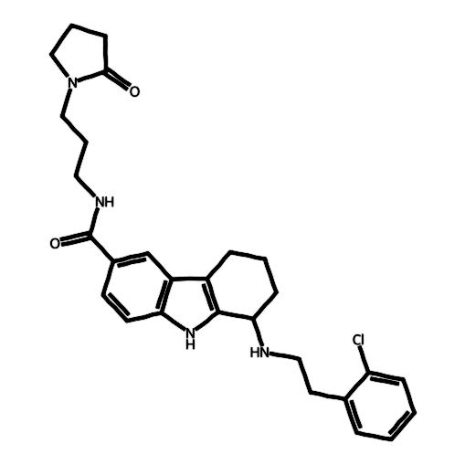 O=C(NCCCN1CCCC1=O)c1ccc2[nH]c3c(c2c1)CCCC3NCCc1ccccc1Cl